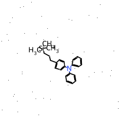 C[Si](C)(C)CCCc1ccc(N(c2ccccc2)c2ccccc2)cc1